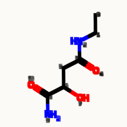 CCNC(=O)CC(O)C(N)=O